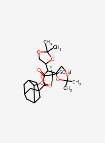 CC1(C)OCC(C(OC(=O)C23CC4CC(C2)C(OC(=O)C(F)(F)S(=O)(=O)O)C(C4)C3)C2COC(C)(C)O2)O1